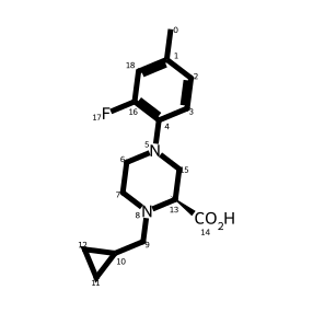 Cc1ccc(N2CCN(CC3CC3)[C@H](C(=O)O)C2)c(F)c1